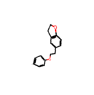 [c]1ccc(OCCc2ccc3c(c2)CCO3)cc1